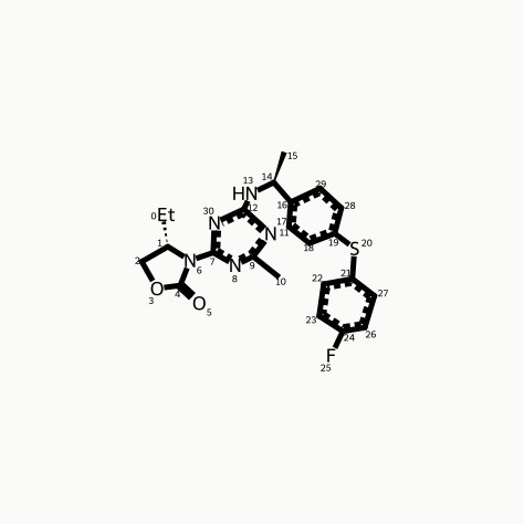 CC[C@H]1COC(=O)N1c1nc(C)nc(N[C@@H](C)c2ccc(Sc3ccc(F)cc3)cc2)n1